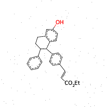 CCOC(=O)C=Cc1ccc(C2c3ccc(O)cc3CCC2c2ccccc2)cc1